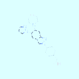 OCC1CCC(n2cc3cc(-n4cccn4)c(N4CCOCC4)cc3n2)CC1